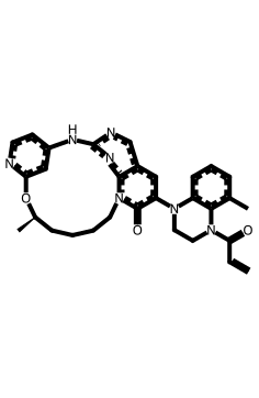 C=CC(=O)N1CCN(c2cc3cnc4nc3n(c2=O)CCCC[C@@H](C)Oc2cc(ccn2)N4)c2cccc(C)c21